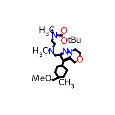 COCC1(C)CCC(c2c(CN(C)CCN(C)C(=O)OC(C)(C)C)nn3c2COCC3)CC1